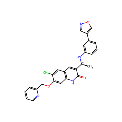 C[C@H](Nc1cccc(-c2cnoc2)c1)c1cc2cc(Cl)c(OCc3ccccn3)cc2[nH]c1=O